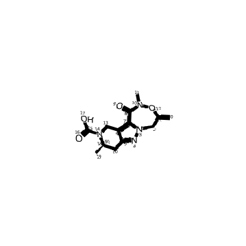 C=C1Cn2nc3c(c2C(=O)N(C)O1)CN(C(=O)O)[C@H](C)C3